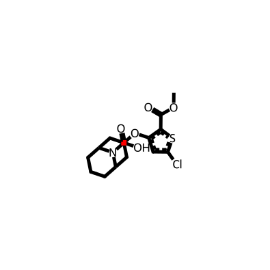 COC(=O)c1sc(Cl)cc1OC1CC2CCCC(C1)N2C(=O)O